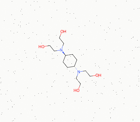 OCCN(CCO)[C@H]1CC[C@H](N(CCO)CCO)CC1